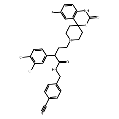 N#Cc1ccc(CNC(=O)C(CCN2CCC3(CC2)OC(=O)Nc2ccc(F)cc23)c2ccc(Cl)c(Cl)c2)cc1